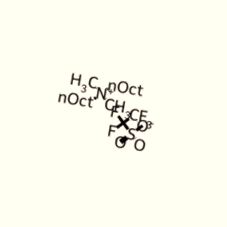 CCCCCCCC[N+](C)(C)CCCCCCCC.O=S(=O)([O-])C(F)(F)C(F)(F)F